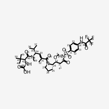 CO[C@H]([C@@H](C)C(=O)NS(=O)(=O)c1ccc(NC(=O)C(F)(F)F)cc1)[C@@H]1CCCN1C(=O)/C(C)=C/[C@H](C(C)C)N(C)C(=O)[C@@H](NC(=O)O)C(C)(C)C